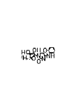 [2H]C[C@H]1O[C@@H](n2cc3c(nc2=O)Nc2ccccc2O3)C(O)[C@H]1O